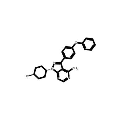 Nc1ncnc2c1c(-c1ccc(Oc3ccccc3)cc1)nn2[C@H]1CC[C@H](O)CC1